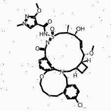 COc1nn(C)cc1C(=O)N[S@@]1(=O)=NC(=O)c2ccc3c(c2)N(Cc2ccc(Cl)cc2CCCCO3)C[C@@H]2CC[C@H]2[C@@H](OC)/C=C/[C@H](O)[C@H](C)C1